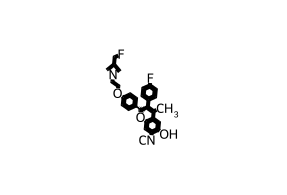 CC1=C(c2ccc(F)cc2)[C@H](c2ccc(OCCN3CC(CF)C3)cc2)Oc2cc(C#N)c(O)cc21